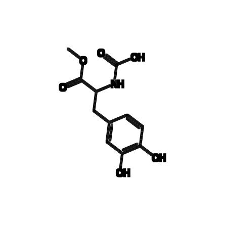 COC(=O)C(Cc1ccc(O)c(O)c1)NC(=O)O